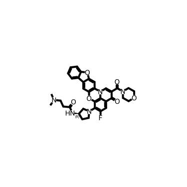 CN(C)CCC(=O)N[C@@H]1CCN(c2c(F)cc3c(=O)c(C(=O)N4CCOCC4)cn4c3c2Oc2cc3c(cc2-4)oc2ccccc23)C1